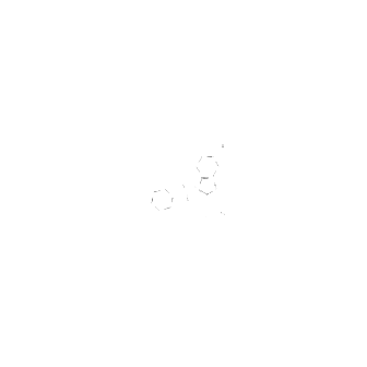 Cc1ccc(S(=O)(=O)n2cc(CC3CCCN3C)c3cc(Br)ccc32)cc1